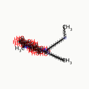 CCCCCCCC/C=C\CCCCCCCCCCCCCCCC(=O)N[C@@H](CO[C@@H]1OC(CO)[C@@H](O[C@@H]2OC(CO)[C@H](O[C@@H]3OC(CO)[C@H](O[C@@H]4OC(CO)[C@H](O)[C@H](O[C@@H]5OC(CO)[C@H](O)[C@H](O)C5O)C4NC(C)=O)[C@H](O)C3O)[C@H](O)C2O)[C@H](O)C1O)[C@H](O)/C=C/CCCCCCCCCCCCC